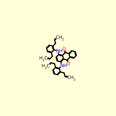 C=CCc1cccc(CC=C)c1Nc1ccc(Nc2c(CC=C)cccc2CC=C)c2c1C(=O)c1ccccc1C2=O